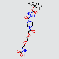 CC(C)(C)OC(=O)NNC(=O)N1CCN(C(=O)COCCOCCNC(=O)O)CC1